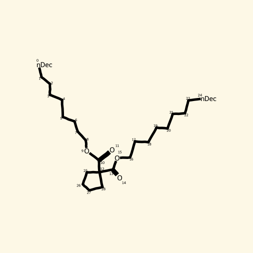 CCCCCCCCCCCCCCCCCCOC(=O)C1(C(=O)OCCCCCCCCCCCCCCCCCC)CCCC1